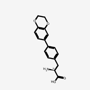 N[C@@H](Cc1ccc(-c2ccc3c(c2)OCCO3)cc1)C(=O)O